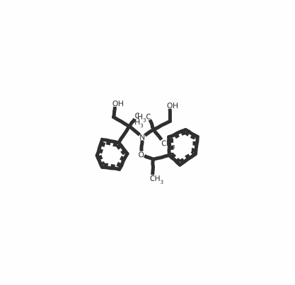 CC(ON(C(C)(C)CO)C(C)(CO)c1ccccc1)c1ccccc1